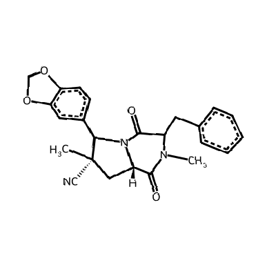 CN1C(=O)[C@@H]2C[C@](C)(C#N)C(c3ccc4c(c3)OCO4)N2C(=O)C1Cc1ccccc1